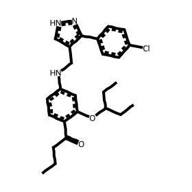 CCCC(=O)c1ccc(NCc2c[nH]nc2-c2ccc(Cl)cc2)cc1OC(CC)CC